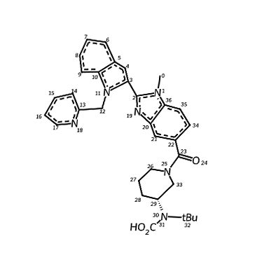 Cn1c(-c2cc3ccccc3n2Cc2ccccn2)nc2cc(C(=O)N3CCC[C@@H](N(C(=O)O)C(C)(C)C)C3)ccc21